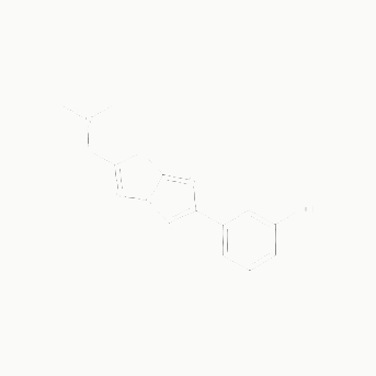 CN(C)Sc1nn2cc(-c3cccc(O)c3)nc2s1